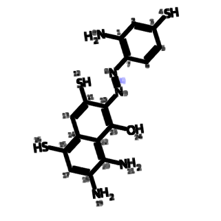 Nc1cc(S)ccc1/N=N/c1c(S)cc2c(S)cc(N)c(N)c2c1O